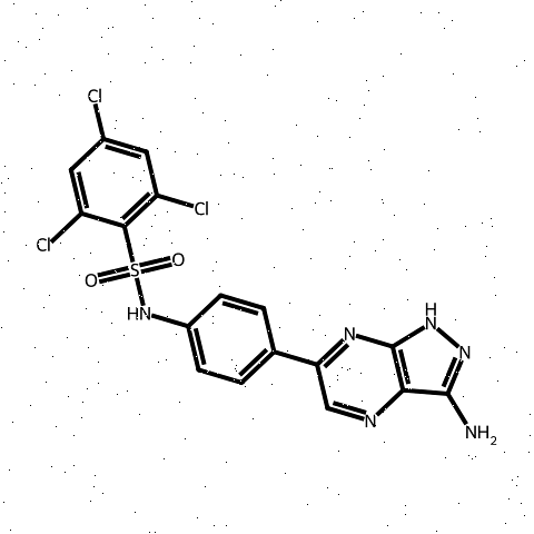 Nc1n[nH]c2nc(-c3ccc(NS(=O)(=O)c4c(Cl)cc(Cl)cc4Cl)cc3)cnc12